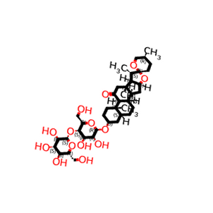 C[C@@H]1CC[C@@]2(OC1)O[C@H]1C[C@H]3[C@@H]4CC[C@H]5C[C@@H](O[C@@H]6O[C@H](CO)[C@@H](O[C@@H]7O[C@H](CO)[C@@H](O)[C@H](O)[C@H]7O)[C@H](O)[C@H]6O)CC[C@]5(C)[C@H]4C(=O)C[C@]3(C)[C@H]1[C@@H]2C